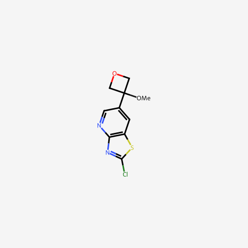 COC1(c2cnc3nc(Cl)sc3c2)COC1